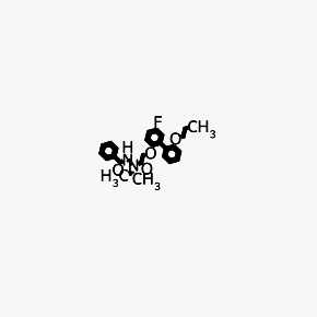 CCCOc1ccccc1-c1cc(F)ccc1OCC(=O)N(NC(=O)c1ccccc1)C(C)C